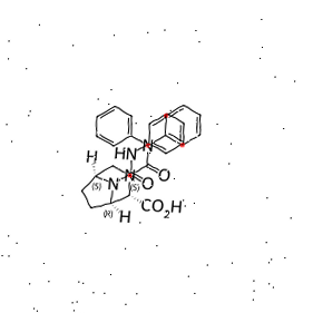 O=C(O)[C@@H]1[C@H]2CC[C@@H](CN1C(=O)N(c1ccccc1)c1ccccc1)N2C(=O)Nc1ccccc1